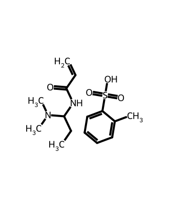 C=CC(=O)NC(CC)N(C)C.Cc1ccccc1S(=O)(=O)O